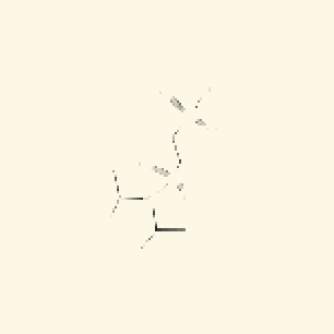 CC(C)N(C(C)C)S(=O)(=O)CCS(=O)(=O)O